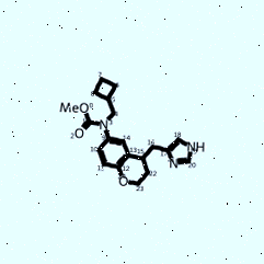 COC(=O)N(CC1CCC1)c1ccc2c(c1)C(Cc1c[nH]cn1)CCO2